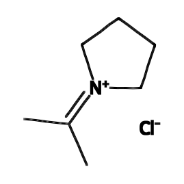 CC(C)=[N+]1CCCC1.[Cl-]